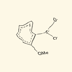 COc1ccccc1[S+]([O-])Cl